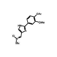 COc1cc(-c2nc(/C=[N+](\[O-])C(C)(C)C)c[nH]2)ccc1OC(C)=O